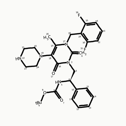 C=C1N(C[C@H](NC(=O)OC(C)(C)C)c2ccccc2)C(=O)C(N2CCNCC2)=C(C)N1Cc1c(F)cccc1F